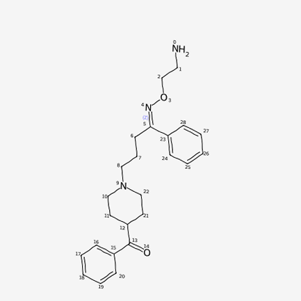 NCCO/N=C(/CCCN1CCC(C(=O)c2ccccc2)CC1)c1ccccc1